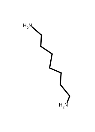 N[CH]CCCCC[CH]N